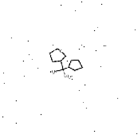 N[C@@](C(=O)O)(C1CCCCC1)C1CCCC1